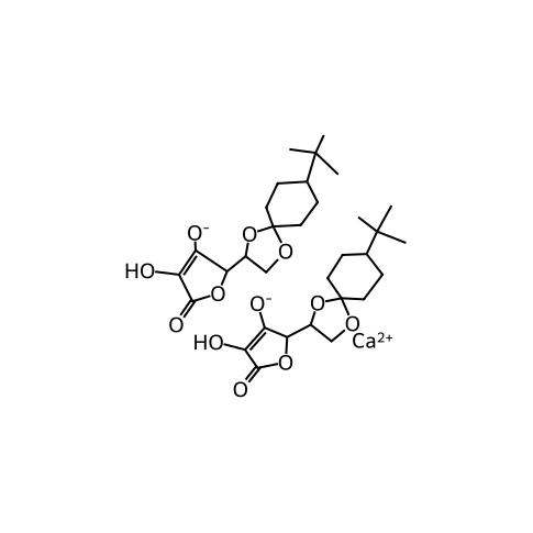 CC(C)(C)C1CCC2(CC1)OCC(C1OC(=O)C(O)=C1[O-])O2.CC(C)(C)C1CCC2(CC1)OCC(C1OC(=O)C(O)=C1[O-])O2.[Ca+2]